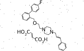 Fc1ccc(-c2ccccc2COCCN2CCN(CC=Cc3ccccc3)CC2)cc1.O=C(O)C=CC(=O)O